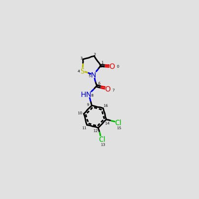 O=C1CCSN1C(=O)Nc1ccc(Cl)c(Cl)c1